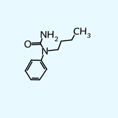 CCCCN(C(N)=O)c1ccccc1